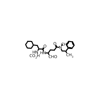 CC(CN(C)C(=O)CCC(C=O)NC(=O)C(CC1CCCCC1)NC(=O)O)c1ccccc1